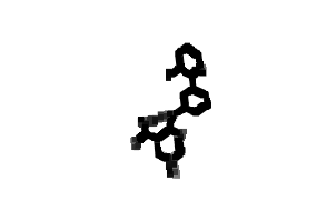 O=NC(=O)C1=C(Nc2cccc(-c3ncccc3F)c2)N=CNC1